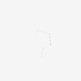 CC1CCC(C)[P]1